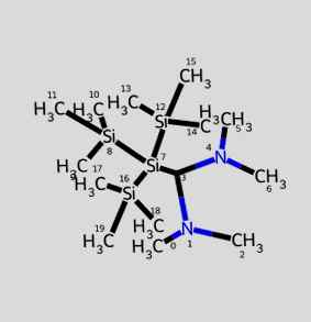 CN(C)C(N(C)C)[Si]([Si](C)(C)C)([Si](C)(C)C)[Si](C)(C)C